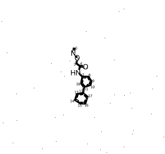 C=NOCC(=O)Nc1cccc(-c2ccccc2)c1